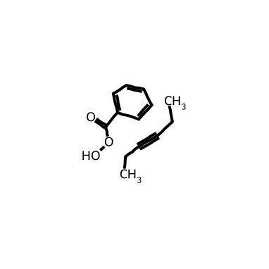 CCC#CCC.O=C(OO)c1ccccc1